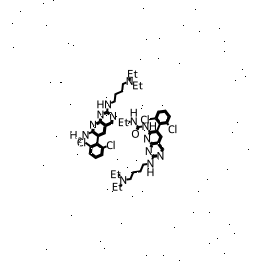 CCN(CC)CCCCNc1ncc2cc(-c3c(Cl)cccc3Cl)c(N)nc2n1.CCNC(=O)Nc1nc2nc(NCCCCN(CC)CC)ncc2cc1-c1c(Cl)cccc1Cl